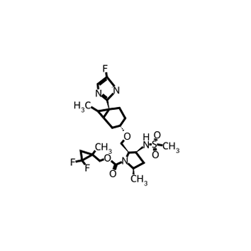 CC1C2C[C@@H](OC[C@H]3[C@@H](NS(C)(=O)=O)C[C@@H](C)N3C(=O)OCC3(C)CC3(F)F)CC[C@@]12c1ncc(F)cn1